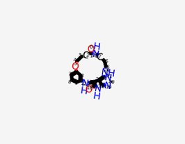 O=C1CCCOc2cccc(c2)N/C=C2\C(=O)Nc3ncnc(c32)NCCCN1